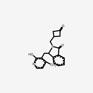 Cc1ccnc(O)c1CC1c2ccccc2C(=O)N1CC1CC(=O)C1